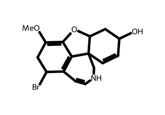 COC1=C2OC3CC(O)C=CC34CNC=CC(=C24)C(Br)C1